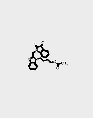 CC(=O)OCCCCn1c(CN2C(=O)C(=O)c3ccccc32)nc2ccccc21